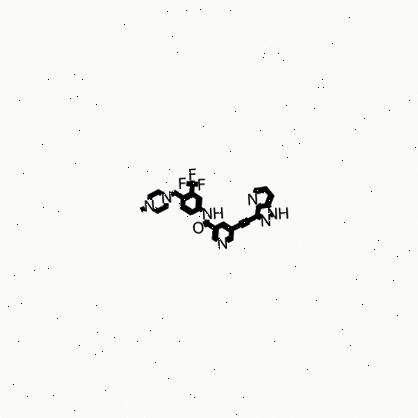 CN1CCN(Cc2ccc(NC(=O)c3cncc(C#Cc4n[nH]c5cccnc45)c3)cc2C(F)(F)F)CC1